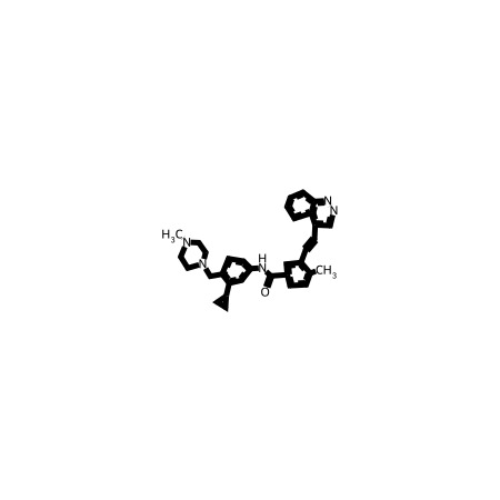 Cc1ccc(C(=O)Nc2ccc(CN3CCN(C)CC3)c(C3CC3)c2)cc1C#Cc1cnnc2ccccc12